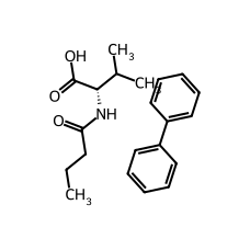 CCCC(=O)N[C@H](C(=O)O)C(C)C.c1ccc(-c2ccccc2)cc1